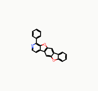 c1ccc(-c2nccc3c2oc2cc4c(cc23)oc2ccccc24)cc1